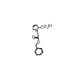 CCOC(=O)[C@@H]1C=CCN1CC(=O)OCc1ccccc1